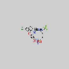 O=C1NS(=O)(=O)CCCCC[C@H](NCC(F)(F)F)[C@@H]2CC[C@H]2CN2C[C@@]3(CCCc4cc(Cl)ccc43)COc3ccc1cc32